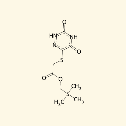 CS(C)(C)COC(=O)CSc1n[nH]c(=O)[nH]c1=O